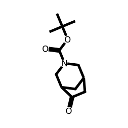 CC(C)(C)OC(=O)N1CC2CC(=O)C(C2)C1